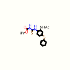 CC(=O)Nc1cc(Sc2ccccc2)ccc1NC(=S)NC(=O)OC(C)C